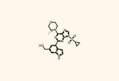 C[C@@H]1COCCN1c1nc(-c2cc(CO)cc3[nH]ccc23)nc2c1ncn2S(=O)(=O)C1CC1